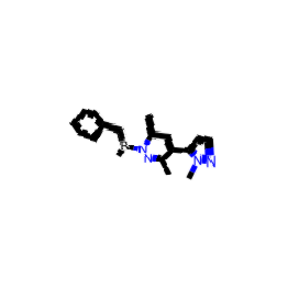 C=C1C=C(c2ccnn2C)C(C)=NN1B(C)Cc1ccccc1